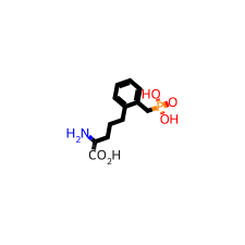 NC(CCCc1ccccc1CP(=O)(O)O)C(=O)O